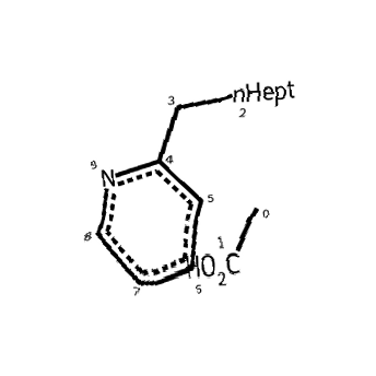 CC(=O)O.CCCCCCCCc1ccccn1